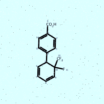 O=C(O)c1ccc(C2C=CC=CC2(F)C(F)(F)F)cc1